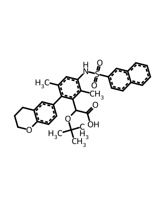 Cc1cc(NS(=O)(=O)c2ccc3ccccc3c2)c(C)c(C(OC(C)(C)C)C(=O)O)c1-c1ccc2c(c1)CCCO2